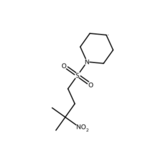 CC(C)(CCS(=O)(=O)N1CC[CH]CC1)[N+](=O)[O-]